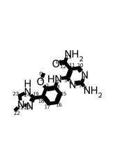 COc1c(Nc2nc(N)ncc2C(N)=O)cccc1C1=NN(C)CN1